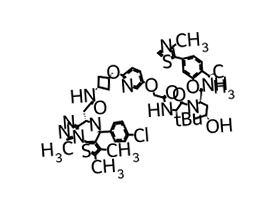 Cc1ncsc1-c1ccc([C@H](C)NC(=O)[C@H]2C[C@H](O)CN2C(=O)[C@@H](NC(=O)COc2ccc(O[C@H]3C[C@@H](NC(=O)C[C@@H]4N=C(c5ccc(Cl)cc5)c5c(sc(C)c5C)-n5c(C)nnc54)C3)nc2)C(C)(C)C)cc1